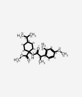 COC(=O)C1(NC(=O)C(C)c2ccc(OC)cc2C)CCC(C(C)C)CC1